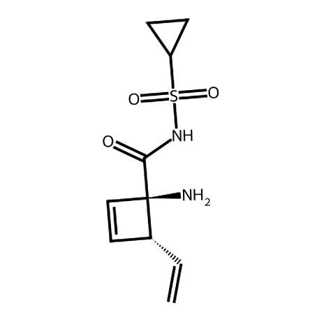 C=C[C@@H]1C=C[C@]1(N)C(=O)NS(=O)(=O)C1CC1